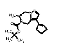 CC1Cn2ncc(C3=CCCC3)c2CN1C(=O)OC(C)(C)C